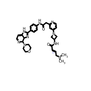 CN(C)C/C=C/C(=O)NC1CN(c2ccnc(CC(=O)Nc3ccc(C4=NC5C(=CC=NC5N5CCOCC5)N4)cc3)c2)C1